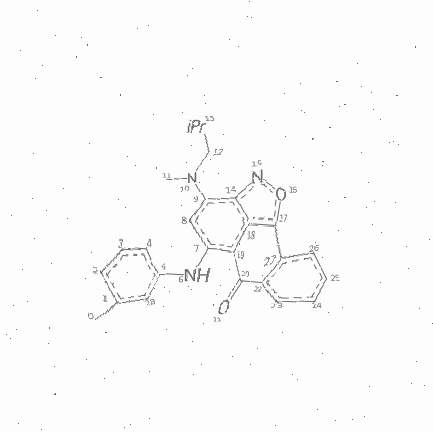 Cc1cccc(Nc2cc(N(C)CC(C)C)c3noc4c3c2C(=O)c2ccccc2-4)c1